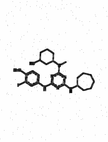 COc1ccc(Nc2nc(NC3CCCCCC3)nc(N(C)C3CCCC(O)C3)n2)cc1F